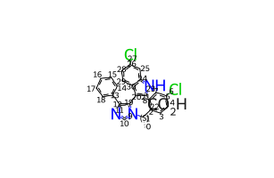 C[C@@H](c1ccc(Cl)cc1)n1cnc(-c2ccccc2)c1-c1c(C(=O)O)[nH]c2cc(Cl)ccc12